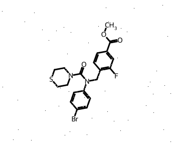 COC(=O)c1ccc(CN(C(=O)N2CCSCC2)c2ccc(Br)cc2)c(F)c1